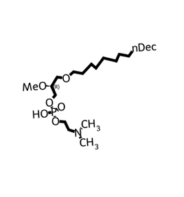 CCCCCCCCCCCCCCCCCCOC[C@H](COP(=O)(O)OCCN(C)C)OC